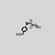 CC(C)(C)OC(=O)N[C@@H]1C[C@H]1c1ccc(CO)cc1